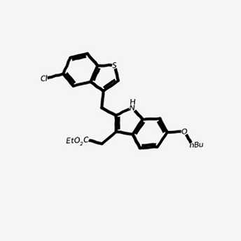 CCCCOc1ccc2c(CC(=O)OCC)c(Cc3csc4ccc(Cl)cc34)[nH]c2c1